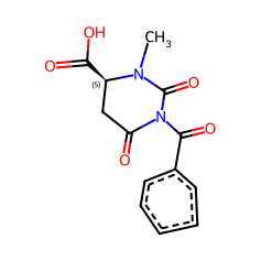 CN1C(=O)N(C(=O)c2ccccc2)C(=O)C[C@H]1C(=O)O